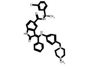 C[C@@H](NC(=O)c1ccc2c(c1)C(=C(Nc1ccc(CN3CCN(C)CC3)cc1)c1ccccc1)C(=O)N2)c1cccc(Cl)c1